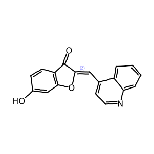 O=C1/C(=C/c2ccnc3ccccc23)Oc2cc(O)ccc21